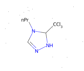 CCCN1C=NNC1C(Cl)(Cl)Cl